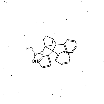 OB(O)OC12CCC(C1)C(c1ccccc1)C2(c1ccccc1)c1ccccc1